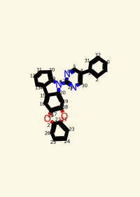 c1ccc(-c2cnc(-n3c4ccccc4c4cc5c(cc43)Oc3ccccc3O5)nc2)cc1